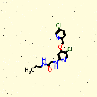 CCCNC(=O)CNc1cc(OCc2ccc(Cl)cn2)c(Cl)cn1